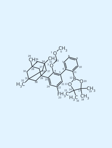 COCOc1c(-c2ccccc2B2OC(C)(C)C(C)(C)O2)cc(F)cc1C12CC3(C)CC(C)(CC(C)(C3)C1)C2